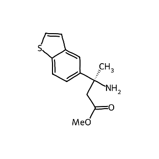 COC(=O)C[C@](C)(N)c1ccc2sccc2c1